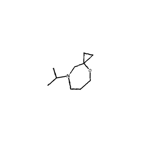 CC(C)N1CCCOC2(CC2)C1